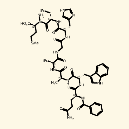 CSCC[C@@H](C(=O)O)N(N)C(=O)[C@H](CC(C)C)NC(=O)[C@H](Cc1c[nH]cn1)NC(=O)CNC(=O)[C@@H](NC(=O)[C@H](C)NC(=O)[C@H](Cc1c[nH]c2ccccc12)NC(=O)[C@H](CCC(N)=O)NC(=O)c1ccccc1)C(C)C